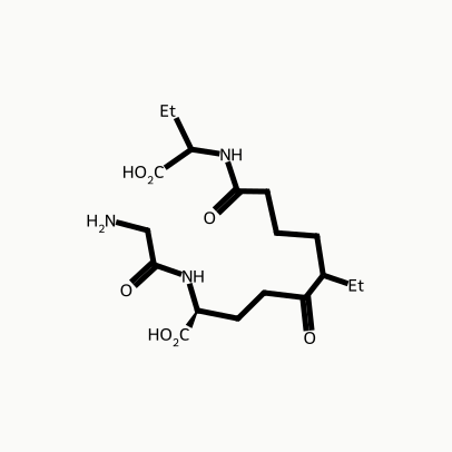 CCC(CCCC(=O)NC(CC)C(=O)O)C(=O)CC[C@H](NC(=O)CN)C(=O)O